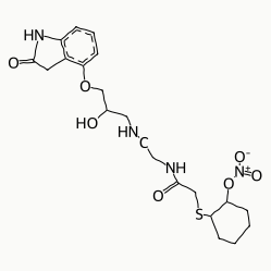 O=C(CSC1CCCCC1O[N+](=O)[O-])NCCNCC(O)COc1cccc2c1CC(=O)N2